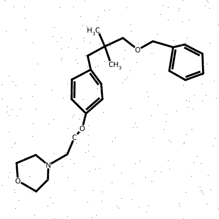 CC(C)([CH]c1ccc(OCCN2CCOCC2)cc1)COCc1ccccc1